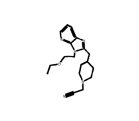 CCOCCn1c(CC2CCN(CC#N)CC2)nc2cccnc21